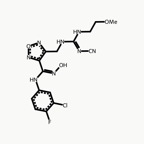 COCCNC(=NC#N)NCc1nonc1C(=NO)Nc1ccc(F)c(Cl)c1